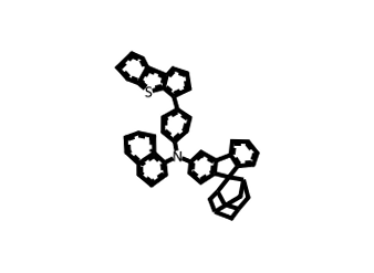 c1ccc2c(c1)-c1cc(N(c3ccc(-c4cccc5c4sc4ccccc45)cc3)c3cccc4ccccc34)ccc1C21C2CC3CC(C2)CC1C3